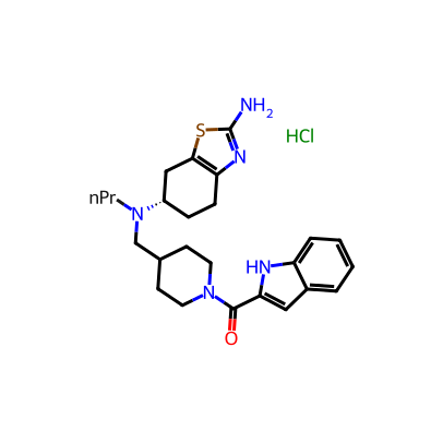 CCCN(CC1CCN(C(=O)c2cc3ccccc3[nH]2)CC1)[C@H]1CCc2nc(N)sc2C1.Cl